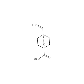 C=CC12CCC(C(=O)OC)(CC1)CC2